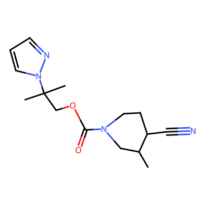 CC1CN(C(=O)OCC(C)(C)n2cccn2)CCC1C#N